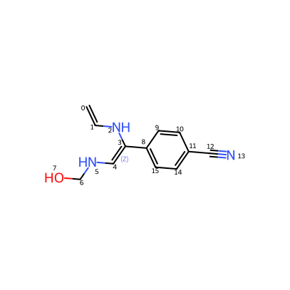 C=CN/C(=C\NCO)c1ccc(C#N)cc1